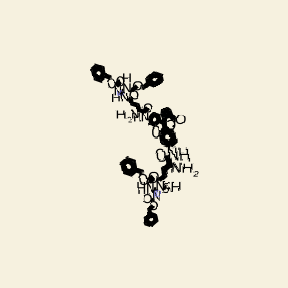 N[C@@H](CCCN/C(=N/C(=O)OCc1ccccc1)NC(=O)OCc1ccccc1)C(=O)Nc1ccc2c(c1)Oc1cc(NC(=O)[C@@H](N)CCCN(S)/C(=N/C(=O)OCc3ccccc3)NC(=O)OCc3ccccc3)ccc1C21OC(=O)c2ccccc21